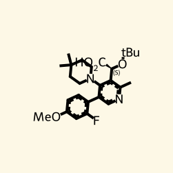 COc1ccc(-c2cnc(C)c([C@H](OC(C)(C)C)C(=O)O)c2N2CCC(C)(C)CC2)c(F)c1